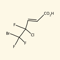 O=C(O)C=CC(F)(Cl)C(F)(F)Br